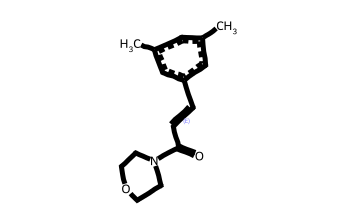 Cc1cc(C)cc(/C=C/C(=O)N2CCOCC2)c1